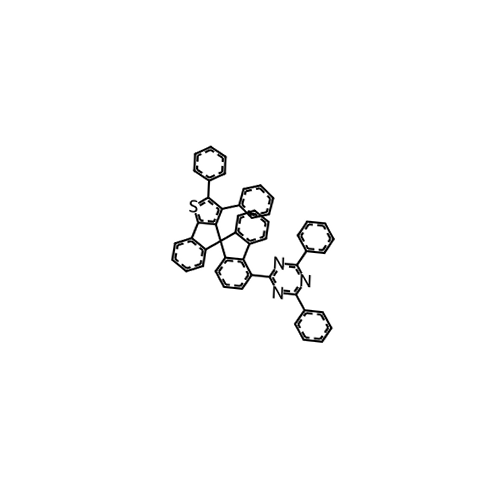 c1ccc(-c2nc(-c3ccccc3)nc(-c3cccc4c3-c3ccccc3C43c4ccccc4-c4sc(-c5ccccc5)c(-c5ccccc5)c43)n2)cc1